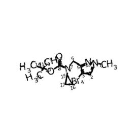 Cn1cc(Br)c(CN(C(=O)OC(C)(C)C)C2CC2)n1